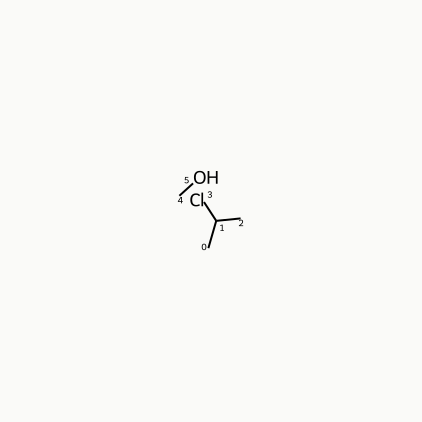 CC(C)Cl.CO